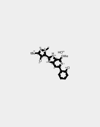 COc1nc(-c2ccccc2Cl)cc2nc(-c3c(Cl)c(C(C)(C)C)nn3C)[nH]c12.Cl